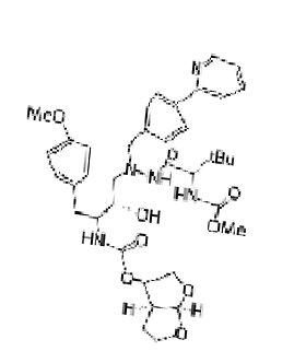 COC(=O)N[C@H](C(=O)NN(Cc1ccc(-c2ccccn2)cc1)C[C@H](O)[C@H](Cc1ccc(OC)cc1)NC(=O)O[C@H]1CO[C@H]2OCC[C@H]21)C(C)(C)C